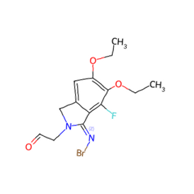 CCOc1cc2c(c(F)c1OCC)/C(=N/Br)N(CC=O)C2